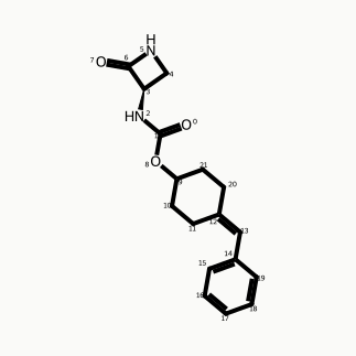 O=C(N[C@@H]1CNC1=O)OC1CCC(=Cc2ccccc2)CC1